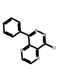 Clc1nnc(-c2ccccc2)c2nccnc12